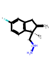 C=C1Cc2cc(F)ccc2[C@]1(CC)CNN